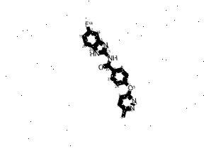 Cc1ccc(Oc2ccc(C(=O)Nc3nc4cc(F)ccc4[nH]3)cc2)nn1